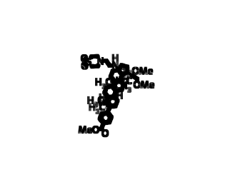 COCC(C)(OC)[C@@H]1CC[C@]2(NCCN3CCS(=O)(=O)CC3)CC[C@]3(C)[C@H](CC[C@@H]4[C@@]5(C)CC=C(c6ccc(C(=O)OC)cc6)C(C)(C)[C@@H]5CC[C@]43C)[C@@H]12